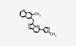 Cc1cc2ncccc2cc1Cc1nnc2ccc(-c3cnn(C)c3)nn12